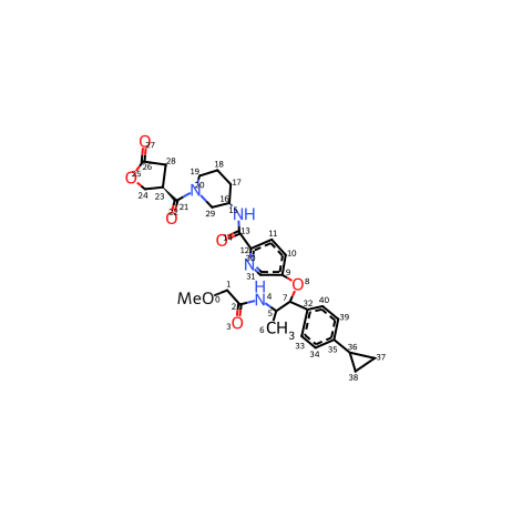 COCC(=O)NC(C)C(Oc1ccc(C(=O)N[C@H]2CCCN(C(=O)[C@H]3COC(=O)C3)C2)nc1)c1ccc(C2CC2)cc1